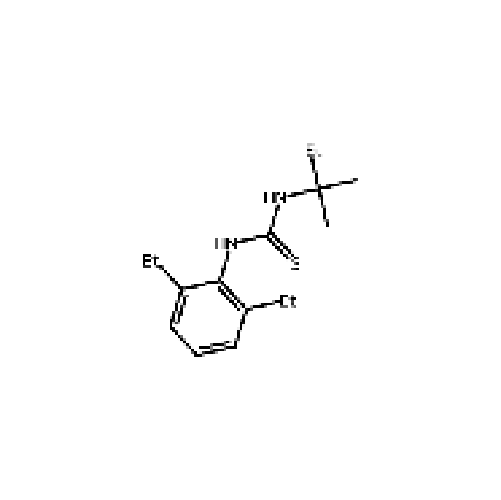 CCc1cccc(CC)c1NC(=S)NC(C)(C)CC